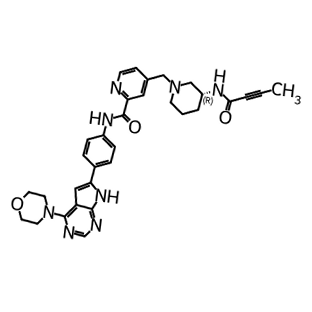 CC#CC(=O)N[C@@H]1CCCN(Cc2ccnc(C(=O)Nc3ccc(-c4cc5c(N6CCOCC6)ncnc5[nH]4)cc3)c2)C1